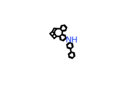 c1ccc(-c2ccc(Nc3ccc4c(c3)-c3ccccc3C3CC5CC6CC4C56C3)cc2)cc1